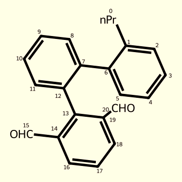 CCCc1ccccc1-c1ccccc1-c1c(C=O)cccc1C=O